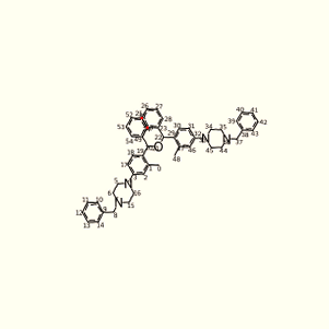 Cc1cc(N2CCN(Cc3ccccc3)CC2)ccc1C(OC(c1ccccc1)c1ccc(N2CCN(Cc3ccccc3)CC2)cc1C)c1ccccc1